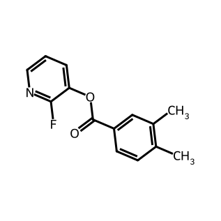 Cc1ccc(C(=O)Oc2cccnc2F)cc1C